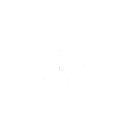 c1ccc(-c2ccc(N(c3ccc4sc5c6ccccc6ccc5c4c3)c3cc(-c4cc5ccccc5c5ccccc45)cc4ccccc34)cc2)cc1